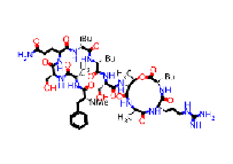 CC[C@@H](C)[C@@H](NC(=O)C(CCC(N)=O)NC(=O)[C@H](CO)NC(=O)[C@H](C)NC(=O)[C@@H](Cc1ccccc1)NC)C(=O)N[C@H](C(=O)N[C@@H](CO)C(=O)N[C@H]1C(=O)N[C@@H](C)C(=O)N[C@@H](CCCNC(=N)N)C(=O)N[C@@H]([C@@H](C)CC)C(=O)O[C@H]1C)[C@@H](C)CC